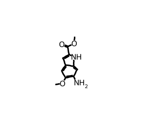 COC(=O)c1cc2cc(OC)c(N)cc2[nH]1